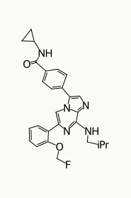 CC(C)CNc1nc(-c2ccccc2OCF)cn2c(-c3ccc(C(=O)NC4CC4)cc3)cnc12